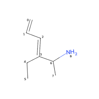 C=C/C=C(\CC)C(C)N